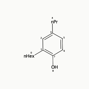 CCCCCCc1cc(CCC)ccc1O